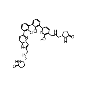 COc1nc(-c2cccc(-c3cccc(-c4ccc5nc(CNC[C@@H]6CCC(=O)N6)cn5n4)c3Cl)c2Cl)ccc1CNC[C@H]1CCC(=O)N1